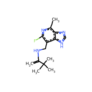 C=C(NCc1c(F)nc(C)c2nc[nH]c12)C(C)(C)C